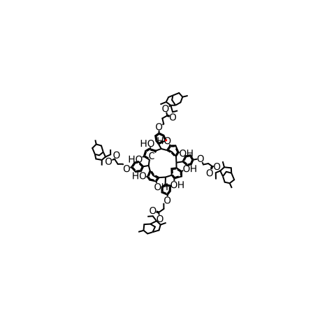 CCC1(OC(=O)CCOc2ccc(C3c4cc(c(O)cc4O)C(c4ccc(OCCC(=O)OC5(CC)C(C)CC6CC(C)CC5C6)cc4)c4cc(c(O)cc4O)C(c4ccc(OCCC(=O)OC5(CC)C(C)CC6CC(C)CC5C6)cc4)c4cc(c(O)cc4O)C(c4ccc(OCCC(=O)OC5(CC)C(C)CC6CC(C)CC5C6)cc4)c4cc3c(O)cc4O)cc2)C(C)CC2CC(C)CC1C2